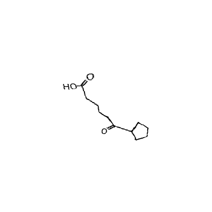 O=C(O)CCCCC(=O)C1CCCC1